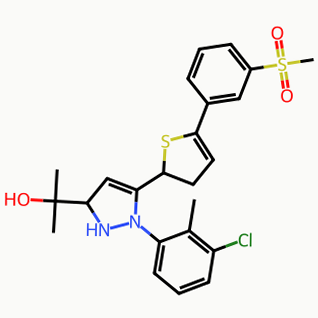 Cc1c(Cl)cccc1N1NC(C(C)(C)O)C=C1C1CC=C(c2cccc(S(C)(=O)=O)c2)S1